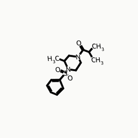 CC(C)C(=O)N1CCN(S(=O)(=O)c2ccccc2)C(C)C1